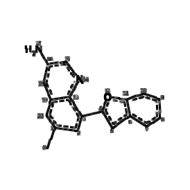 Cc1cc(-c2cc3ccccc3o2)c2ncc(N)cc2c1